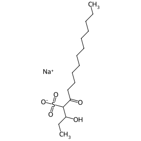 CCCCCCCCCCCC(=O)C(C(O)CC)S(=O)(=O)[O-].[Na+]